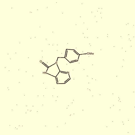 COc1ccc(Cn2c(=O)[nH]c3cccnc32)cc1